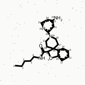 CCCCCNC(=O)C1Oc2ccccc2C12CCN(c1cc(N)ccn1)CC2